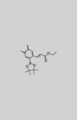 C=C1C=C(/C=C/C(=O)OCC)C(B2OC(C)(C)C(C)(C)O2)=CN1C